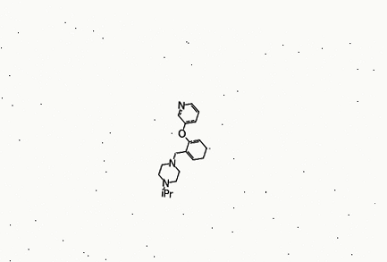 CC(C)N1CCN(CC2=CC[CH]C=C2Oc2cccnc2)CC1